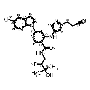 CC(C)(O)C(F)CNC(=O)c1cnc(-n2ncc3cc(Cl)cnc32)cc1Nc1cnn(CCC#N)c1